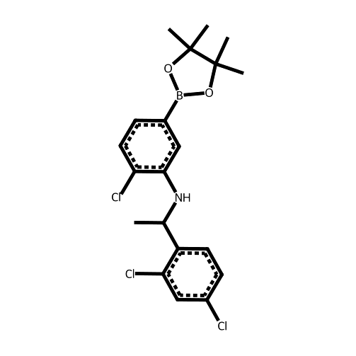 CC(Nc1cc(B2OC(C)(C)C(C)(C)O2)ccc1Cl)c1ccc(Cl)cc1Cl